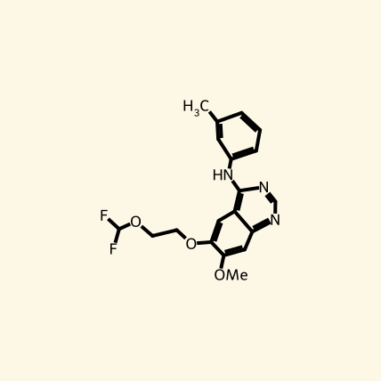 COc1cc2ncnc(Nc3cccc(C)c3)c2cc1OCCOC(F)F